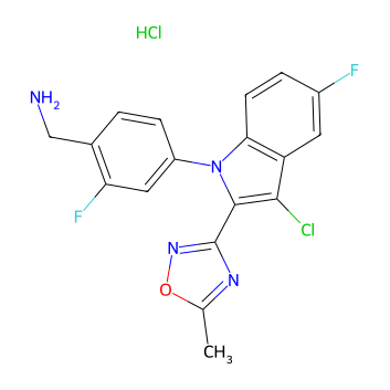 Cc1nc(-c2c(Cl)c3cc(F)ccc3n2-c2ccc(CN)c(F)c2)no1.Cl